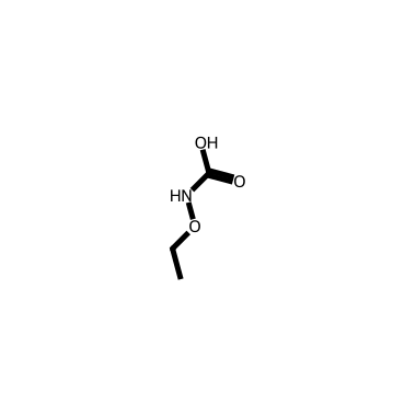 CCONC(=O)O